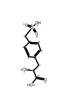 N[C@@H](Cc1ccc(CS(=O)(=O)O)cc1)C(=O)O